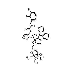 CC1(C)OB(CCCCC(NC(c2ccccc2)(c2ccccc2)c2ccccc2)c2nnnn2CC(=O)NCc2cccc(F)c2F)OC1(C)C